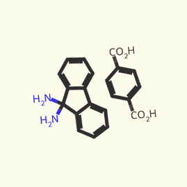 NC1(N)c2ccccc2-c2ccccc21.O=C(O)c1ccc(C(=O)O)cc1